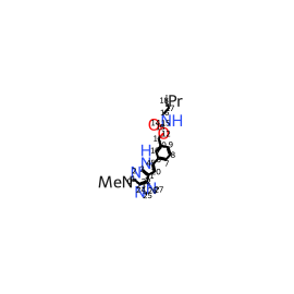 CNc1nc2[nH]c(-c3cccc(COC(=O)NCCC(C)C)c3)cc2c2c1ncn2C